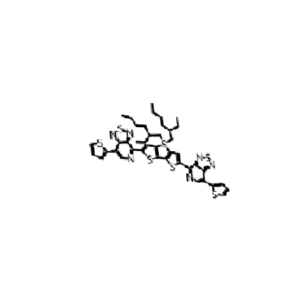 CCCCC(CC)CS1(CC(CC)CCCC)c2cc(-c3ncc(-c4cccs4)c4nsnc34)sc2-c2sc(-c3ncc(-c4cccs4)c4nsnc34)cc21